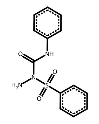 NN(C(=O)Nc1ccccc1)S(=O)(=O)c1ccccc1